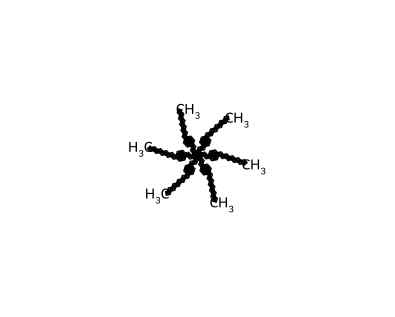 CCCCCCCCCCc1ccc(CCc2c(CCc3ccc(CCCCCCCCCC)cc3)c(CCc3ccc(CCCCCCCCCC)cc3)c(CCc3ccc(CCCCCCCCCC)cc3)c(CCc3ccc(CCCCCCCCCC)cc3)c2CCc2ccc(CCCCCCCCCC)cc2)cc1